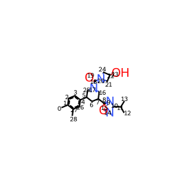 Cc1ccc(C2CC(c3nc(C(C)C)no3)CN(C(=O)N3CC(O)C3)C2)cc1C